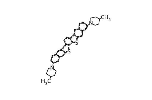 CC1CCN(c2ccc3cc4c(cc3c2)sc2c4ccc3c4cc5ccc(N6CCC(C)CC6)cc5cc4sc32)CC1